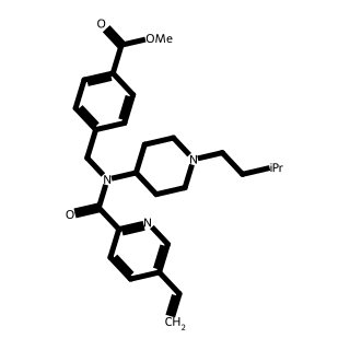 C=Cc1ccc(C(=O)N(Cc2ccc(C(=O)OC)cc2)C2CCN(CCC(C)C)CC2)nc1